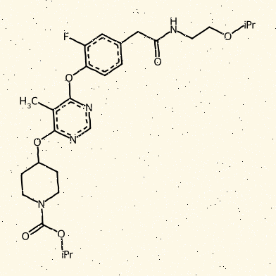 Cc1c(Oc2ccc(CC(=O)NCCOC(C)C)cc2F)ncnc1OC1CCN(C(=O)OC(C)C)CC1